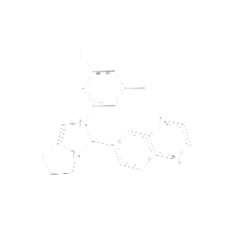 Fc1cc(F)cc(N2C=C3CCCN3C2c2ccc3nccnc3c2)c1